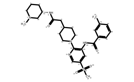 CN1CCC[C@H](NC(=O)CC2CCN(c3ncc(S(C)(=O)=O)cc3NC(=O)c3cccc(C(F)(F)F)c3)CC2)C1